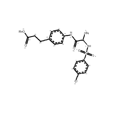 CCCCC(NS(=O)(=O)c1ccc(Cl)cc1)C(=O)Nc1ccc(CCC(=O)OC)cc1